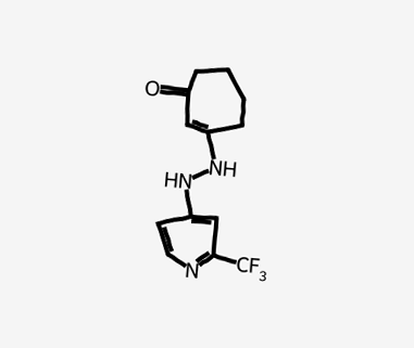 O=C1C=C(NNc2ccnc(C(F)(F)F)c2)CCCC1